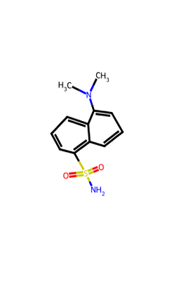 CN(C)c1cccc2c(S(N)(=O)=O)cccc12